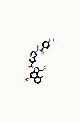 Cc1cccc2c(O)cc3c(c12)C(CCl)CN3C(=O)c1cc2cc(NC(=O)c3ccc(N)cc3)ccn2c1